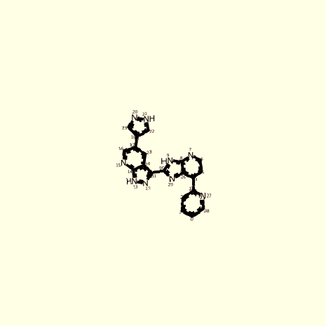 c1ccc(-c2ccnc3[nH]c(-c4n[nH]c5ncc(-c6cn[nH]c6)cc45)nc23)nc1